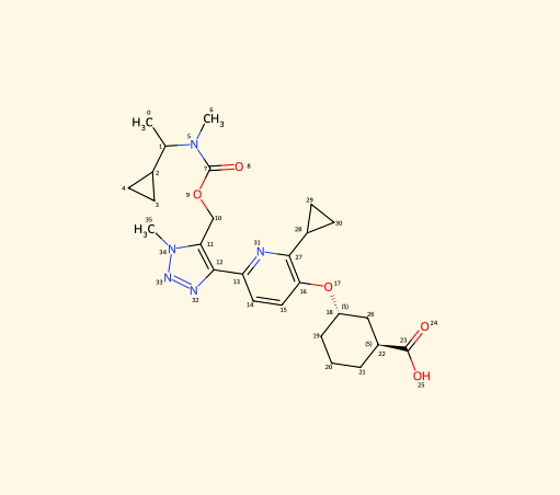 CC(C1CC1)N(C)C(=O)OCc1c(-c2ccc(O[C@H]3CCC[C@H](C(=O)O)C3)c(C3CC3)n2)nnn1C